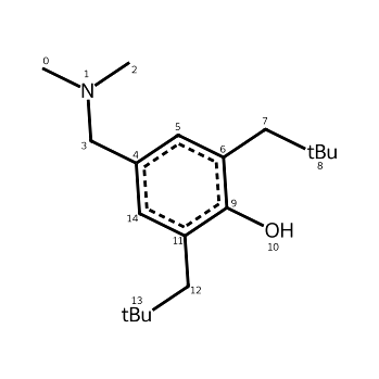 CN(C)Cc1cc(CC(C)(C)C)c(O)c(CC(C)(C)C)c1